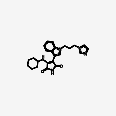 O=C1NC(=O)C(c2cn(CCCn3ccnc3)c3ccccc23)=C1NC1CCCCC1